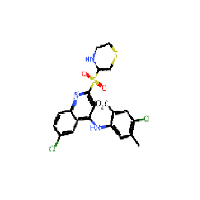 Cc1cc(Nc2cc(S(=O)(=O)C3CSCCN3)nc3ccc(Cl)cc23)c(C(=O)O)cc1Cl